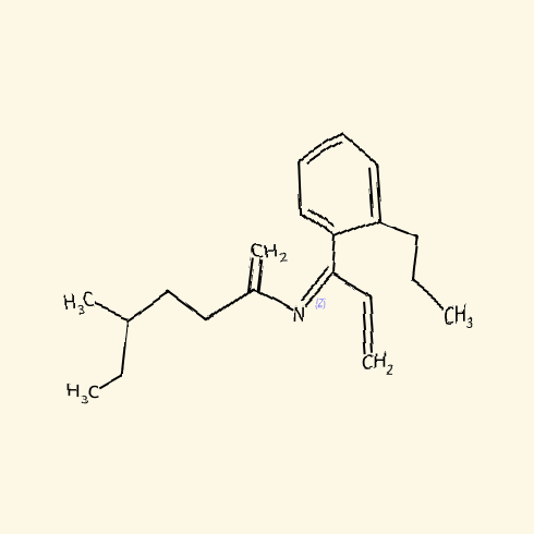 C=C/C(=N/C(=C)CCC(C)CC)c1ccccc1CCC